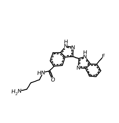 NCCCNC(=O)c1ccc2[nH]nc(-c3nc4cccc(F)c4[nH]3)c2c1